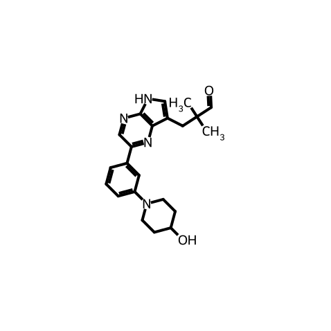 CC(C)(C=O)Cc1c[nH]c2ncc(-c3cccc(N4CCC(O)CC4)c3)nc12